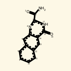 NC(=O)c1nc2cc3ccccc3cc2c(=O)[nH]1